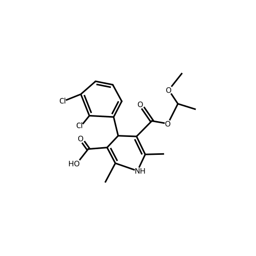 COC(C)OC(=O)C1=C(C)NC(C)=C(C(=O)O)C1c1cccc(Cl)c1Cl